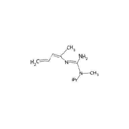 C=C/C=C(C)\N=C(/N)N(C)C(C)C